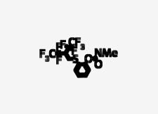 CNC(=O)Oc1ccccc1SCC(C(F)(F)C(F)(F)F)C(F)(F)C(F)(F)F